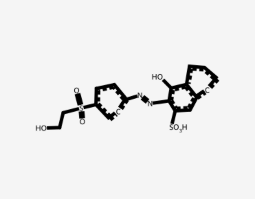 O=S(=O)(O)c1cc2ccccc2c(O)c1N=Nc1ccc(S(=O)(=O)CCO)cc1